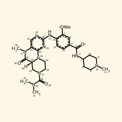 COc1cc(C(=O)NC2CCN(C)CC2)ccc1Nc1ncc2c(n1)N1CCN(C(=O)N(C)C)C[C@@H]1C(=O)N2C